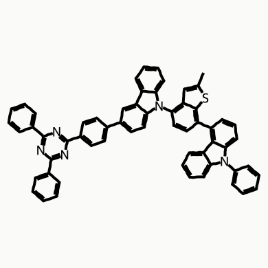 Cc1cc2c(-n3c4ccccc4c4cc(-c5ccc(-c6nc(-c7ccccc7)nc(-c7ccccc7)n6)cc5)ccc43)ccc(-c3cccc4c3c3ccccc3n4-c3ccccc3)c2s1